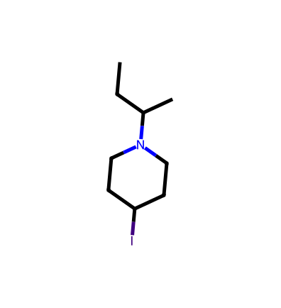 CCC(C)N1CCC(I)CC1